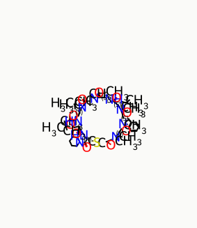 CC[C@@H]1NC(=O)[C@H](CC(C)C)N(C)C(=O)[C@H](Cc2ccccc2)N(C)C(=O)[C@H](C)N(C)C2OC2CSC[C@@H](C(=O)N2CCCCC2)NC(=O)C(COC(C)(C)C)NC(=O)[C@H](CC(C)C)N(C)C(=O)CN(C)C1=O